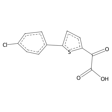 O=C(O)C(=O)c1ccc(-c2ccc(Cl)cc2)s1